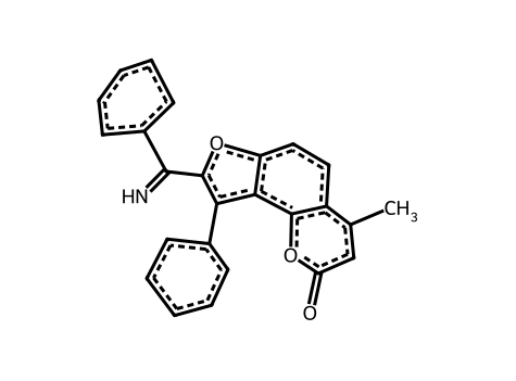 Cc1cc(=O)oc2c1ccc1oc(C(=N)c3ccccc3)c(-c3ccccc3)c12